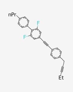 CCC#CCc1ccc(C#Cc2cc(F)c(-c3ccc(CCC)cc3)c(F)c2)cc1